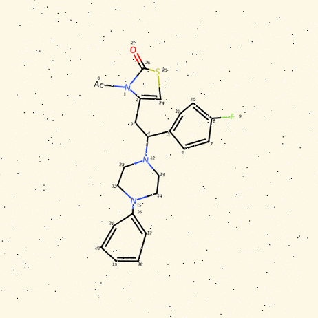 CC(=O)n1c(CC(c2ccc(F)cc2)N2CCN(c3ccccc3)CC2)csc1=O